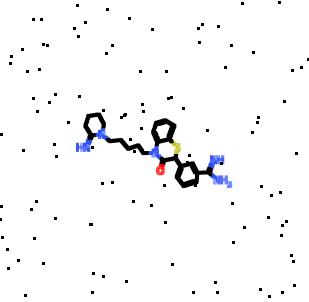 N=C(N)c1cccc(C2Sc3ccccc3N(CCCCCN3CCCCC3=N)C2=O)c1